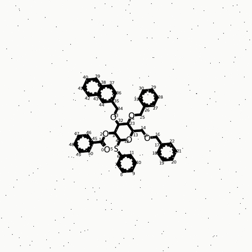 O=C(OC1C(Sc2ccccc2)OC(COCc2ccccc2)C(OCc2ccccc2)C1OCc1ccc2ccccc2c1)c1ccccc1